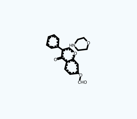 C1COCCN1.O=COc1ccc2c(=O)c(-c3ccccc3)coc2c1